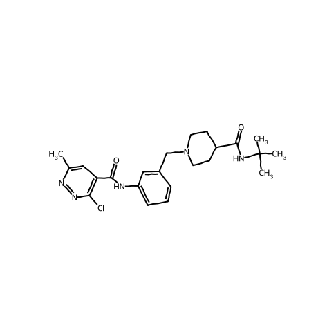 Cc1cc(C(=O)Nc2cccc(CN3CCC(C(=O)NC(C)(C)C)CC3)c2)c(Cl)nn1